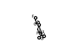 CCNC(=O)C1(CCCN2CCN(c3ccc4c(c3)C(=O)N(Cc3cccc(F)c3)CC4)CC2)c2ccccc2Oc2ccccc21